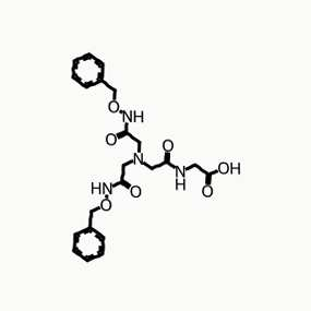 O=C(O)CNC(=O)CN(CC(=O)NOCc1ccccc1)CC(=O)NOCc1ccccc1